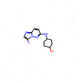 OC1CCC(Nc2ccc3ncc(I)n3n2)CC1